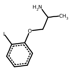 CC(N)COc1ccccc1I